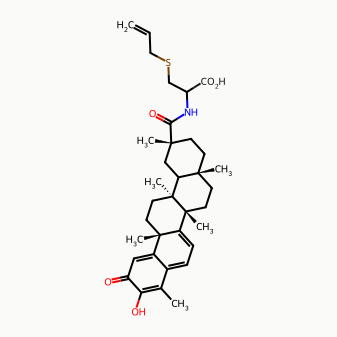 C=CCSCC(NC(=O)[C@]1(C)CC[C@]2(C)CC[C@]3(C)C4=CC=C5C(=CC(=O)C(O)=C5C)[C@]4(C)CC[C@@]3(C)C2C1)C(=O)O